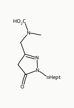 CCCCCCCN1N=C(CN(C)C(=O)O)CC1=O